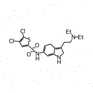 CCN(CC)CCC1=C2CC=C(NS(=O)(=O)c3cc(Cl)c(Cl)s3)C=C2NC1